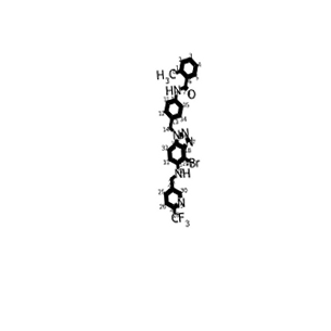 Cc1ccccc1C(=O)Nc1ccc(Cn2nnc3c(Br)c(NCc4ccc(C(F)(F)F)nc4)ccc32)cc1